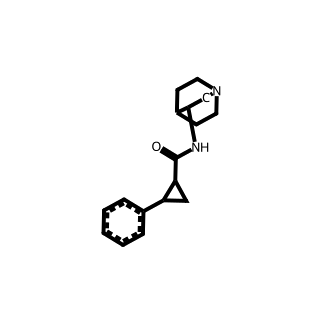 O=C(NC1CN2CCC1CC2)C1CC1c1ccccc1